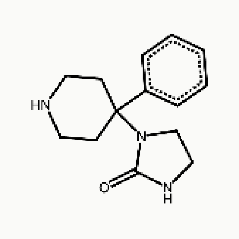 O=C1NCCN1C1(c2ccccc2)CCNCC1